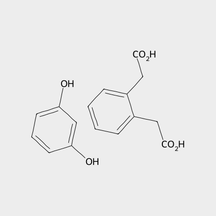 O=C(O)Cc1ccccc1CC(=O)O.Oc1cccc(O)c1